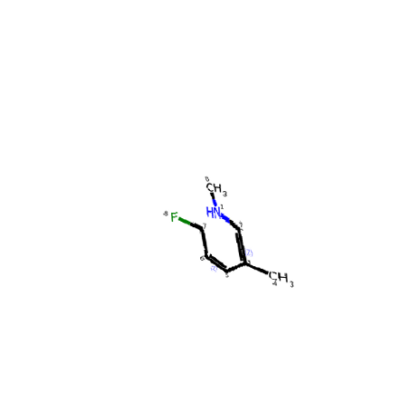 CN/C=C(C)\C=C/CF